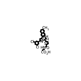 [2H]C([2H])([2H])C(c1ccc(C(=O)NCCC(=O)O)s1)n1nc(-c2cc(Cl)cc(Cl)c2)cc1-c1ccc2cc(C)ccc2c1